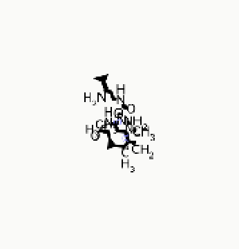 C=C/C(=C(/C/C(=N/OC(=O)NCCC(N)=C1CC1)NC)N(C)N)[C@H](C)C1CC1CC(C)=O